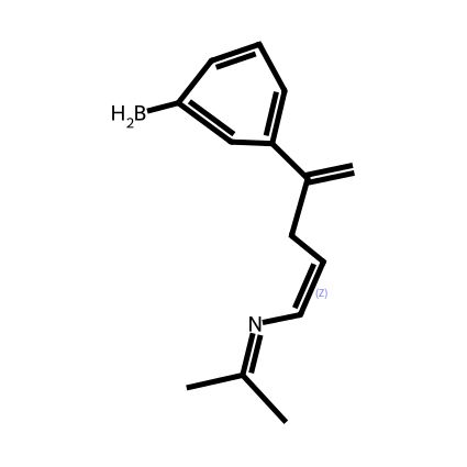 Bc1cccc(C(=C)C/C=C\N=C(C)C)c1